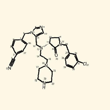 N#Cc1ccc(Cn2cncc2CN(CCN2CCNCC2)[C@@H]2CCN(Cc3cccc(Cl)c3)C2=O)cc1